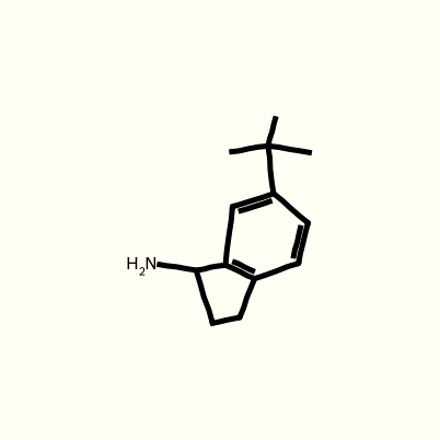 CC(C)(C)c1ccc2c(c1)C(N)CC2